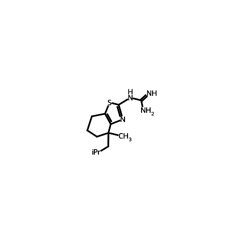 CC(C)CC1(C)CCCc2sc(NC(=N)N)nc21